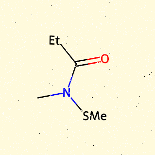 CCC(=O)N(C)SC